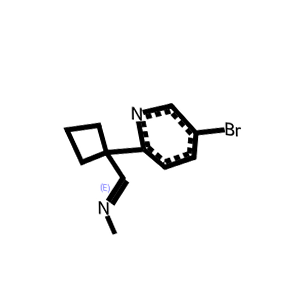 C/N=C/C1(c2ccc(Br)cn2)CCC1